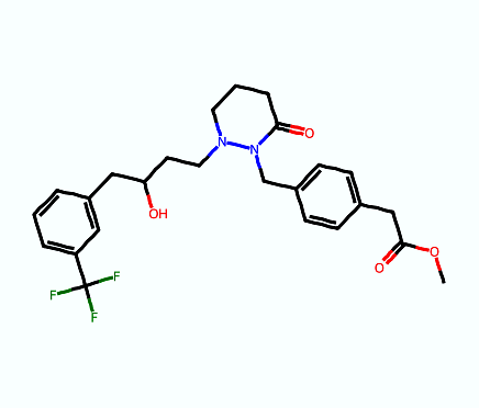 COC(=O)Cc1ccc(CN2C(=O)CCCN2CCC(O)Cc2cccc(C(F)(F)F)c2)cc1